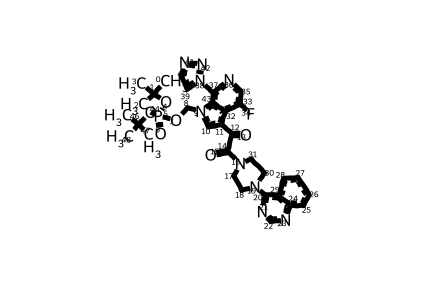 CC(C)(C)OP(=O)(OCn1cc(C(=O)C(=O)N2CCN(c3ncnc4ccccc34)CC2)c2c(F)cnc(-n3ccnn3)c21)OC(C)(C)C